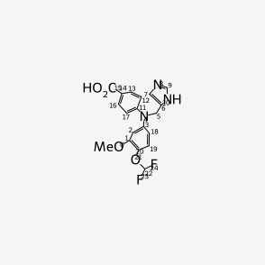 COc1cc(N(Cc2cnc[nH]2)c2ccc(C(=O)O)cc2)ccc1OC(F)F